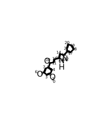 COc1cc(OC)cc(C(=O)C=Cc2cc(-c3ccccc3)n[nH]2)c1